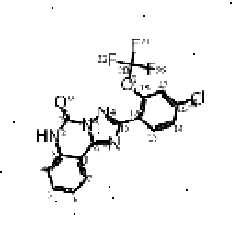 O=c1[nH]c2ccccc2c2nc(-c3ccc(Cl)cc3OC(F)(F)F)nn12